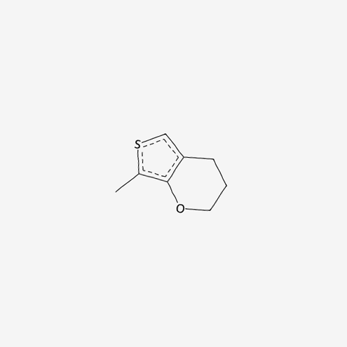 Cc1scc2c1OCCC2